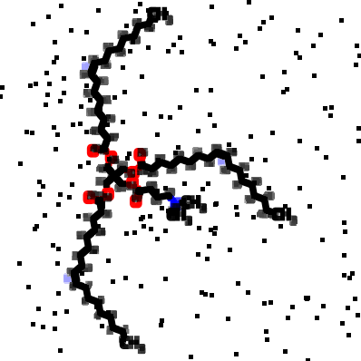 CCCCCCCC/C=C\CCCCCCCC(=O)OCC(COC(=O)CCCCCCC/C=C\CCCCCCCC)(COC(=O)CCCCCCC/C=C\CCCCCCCC)COC(=O)CCCN(C)C